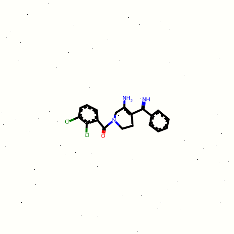 N=C(C1=C(N)CN(C(=O)c2cccc(Cl)c2Cl)CC1)c1ccccc1